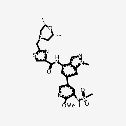 COc1ncc(-c2cc(NC(=O)c3csc(CN4C[C@@H](C)O[C@@H](C)C4)n3)c3cnn(C)c3c2)cc1NS(C)(=O)=O